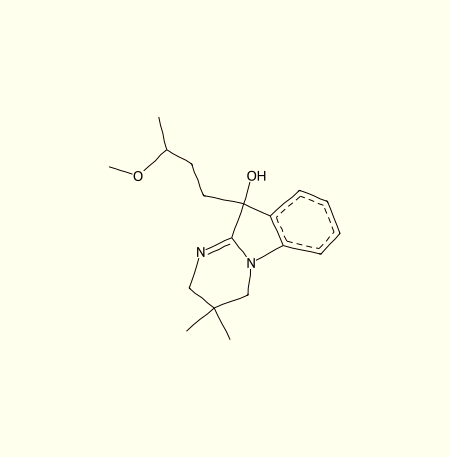 COC(C)CCC1(O)C2=NCC(C)(C)CN2c2ccccc21